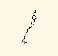 CCCCCCCCC#CCOCc1ccc(CI)cc1